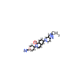 Cn1cc2c(n1)CCN(c1ccc3c(=O)n(C4CCB(C#N)CC4)ccc3c1)C2